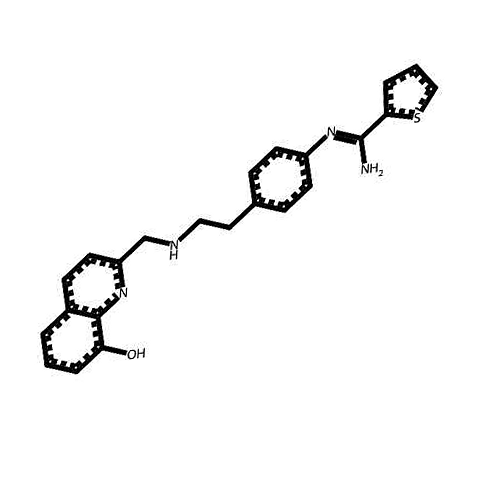 N/C(=N\c1ccc(CCNCc2ccc3cccc(O)c3n2)cc1)c1cccs1